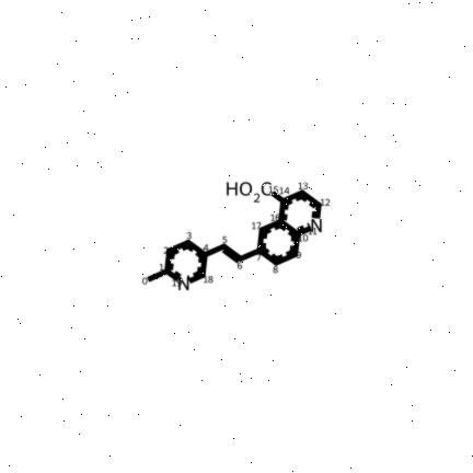 Cc1ccc(C=Cc2ccc3nccc(C(=O)O)c3c2)cn1